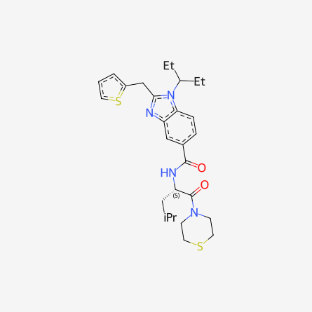 CCC(CC)n1c(Cc2cccs2)nc2cc(C(=O)N[C@@H](CC(C)C)C(=O)N3CCSCC3)ccc21